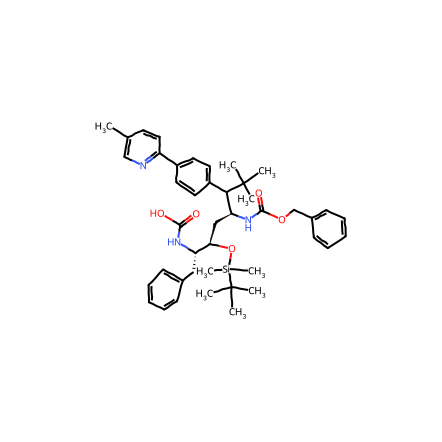 Cc1ccc(-c2ccc(C([C@H](C[C@@H](O[Si](C)(C)C(C)(C)C)[C@H](Cc3ccccc3)NC(=O)O)NC(=O)OCc3ccccc3)C(C)(C)C)cc2)nc1